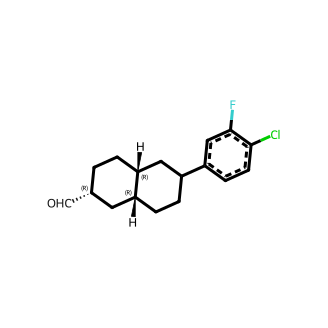 O=C[C@@H]1CC[C@@H]2CC(c3ccc(Cl)c(F)c3)CC[C@@H]2C1